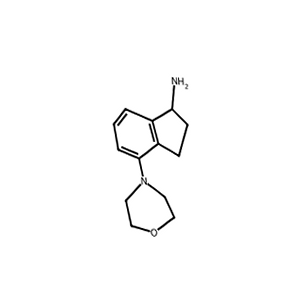 NC1CCc2c1cccc2N1CCOCC1